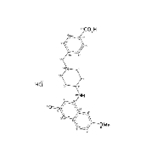 COc1ccc2oc(=O)cc(NC3CCN(Cc4ccc(C(=O)O)cc4)CC3)c2c1.Cl